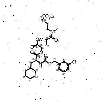 CCOC(=O)NCCN(C)C(=O)CC[C@H](NC(=O)[C@H](CC1CCCCC1)NC(=O)OCc1cccc(Cl)c1)C(=O)OC